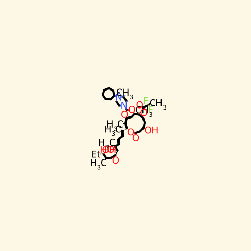 CC[C@H](O)[C@@H](C)[C@H]1O[C@@H]1C[C@@](C)(O)/C=C/C=C(\C)[C@H]1OC(=O)C[C@H](O)CC[C@@](C)(OC(=O)C(C)(F)F)[C@@H](OC(=O)N2CC[N+](C)(C3CCCCCC3)CC2)/C=C/[C@@H]1C